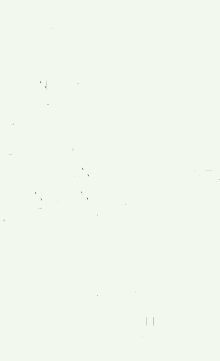 CCOc1cc(-c2cccc(OC)c2)nn(-c2cc(N3CCOCC3)ccc2[N+](=O)[O-])c1=O